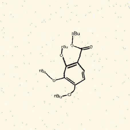 CCCCOC(=O)c1ccc(OCCCC)c(OCCCC)c1OCCCC